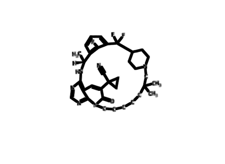 C[C@H]1Nc2ncnc3c2cc(C2(C#N)CC2)c(=O)n3CCCCCC(C)(C)CN2CCC(CC2)C(F)(F)c2cccc1c2F